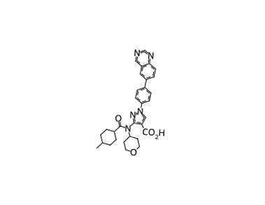 CC1CCC(C(=O)N(c2nn(-c3ccc(-c4ccc5ncncc5c4)cc3)cc2C(=O)O)C2CCOCC2)CC1